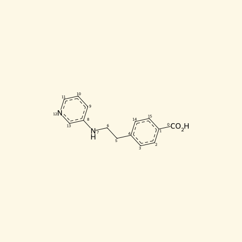 O=C(O)c1ccc(CCNc2cccnc2)cc1